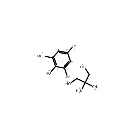 CC(N)(CO)CO.O=Cc1cc(Br)cc(Br)c1O